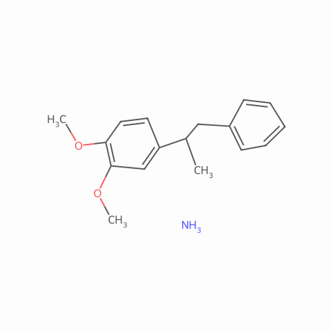 COc1ccc(C(C)Cc2ccccc2)cc1OC.N